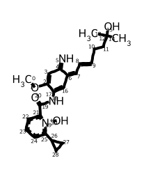 COC1=CC(=N)/C(=C\C=C\CCC(C)(C)O)C=C1NC(=O)c1cccc(C2CC2)[n+]1O